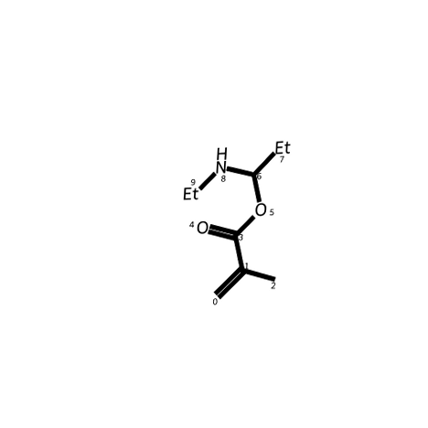 C=C(C)C(=O)OC(CC)NCC